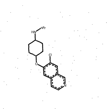 CCCNC1CCC(Oc2cc3ccncc3cc2Cl)CC1